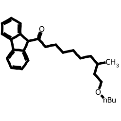 CCCCOCCC(C)CCCCCCC(=O)C1c2ccccc2-c2ccccc21